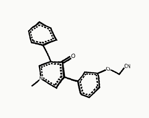 Cn1cc(-c2ccccc2)c(=O)c(-c2cccc(OCC#N)c2)c1